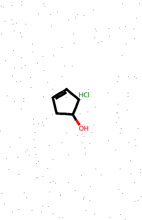 Cl.OC1CC=CC1